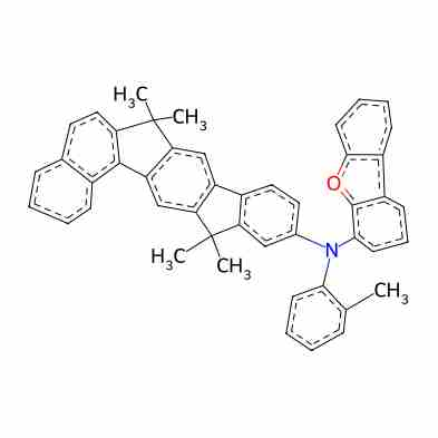 Cc1ccccc1N(c1ccc2c(c1)C(C)(C)c1cc3c(cc1-2)C(C)(C)c1ccc2ccccc2c1-3)c1cccc2c1oc1ccccc12